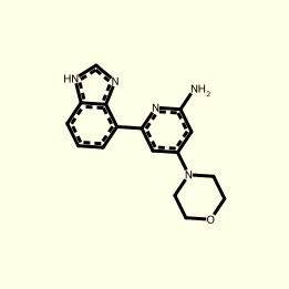 Nc1cc(N2CCOCC2)cc(-c2cccc3[nH]cnc23)n1